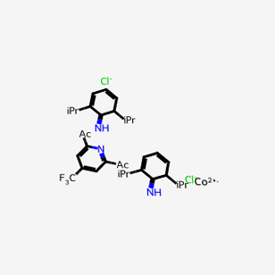 CC(=O)c1cc(C(F)(F)F)cc(C(C)=O)n1.CC(C)C1=CC=CC(C(C)C)C1=N.CC(C)C1=CC=CC(C(C)C)C1=N.[Cl-].[Cl-].[Co+2]